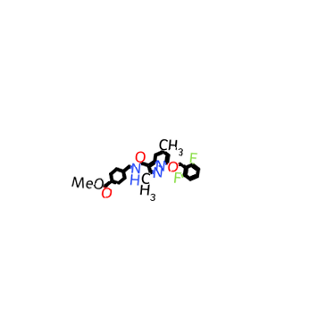 COC(=O)C1CCC(CNC(=O)c2c(C)nn3c(OCc4c(F)cccc4F)cc(C)cc23)CC1